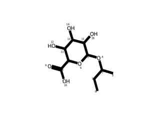 CCC(C)OC1OC(C(=O)O)C(O)C(O)C1O